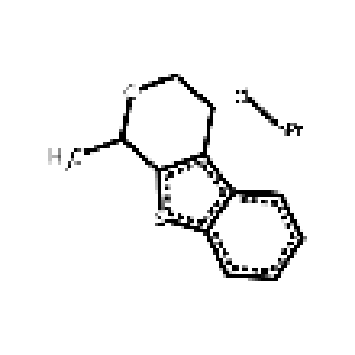 CC1OCCc2c1sc1ccccc21.CCCCl